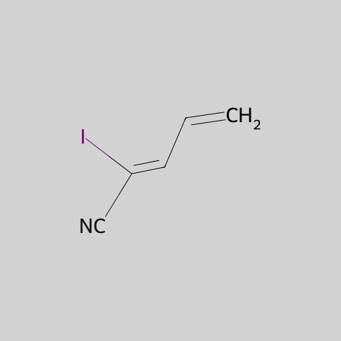 C=CC=C(I)C#N